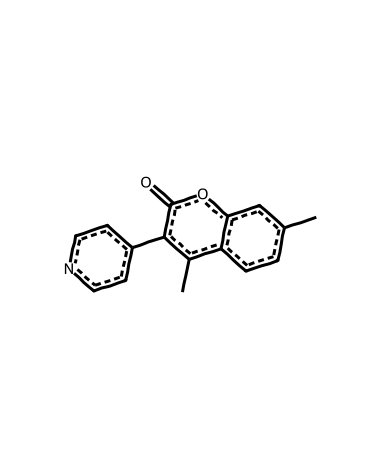 Cc1ccc2c(C)c(-c3ccncc3)c(=O)oc2c1